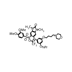 CCCOc1cc(OCCCCN2CCOCC2)cc(Oc2cc3c(cc2N(OC(=O)C(F)(F)F)S(=O)(=O)c2ccc(OC)c(OC)c2)n(C)c(=O)n3C)c1